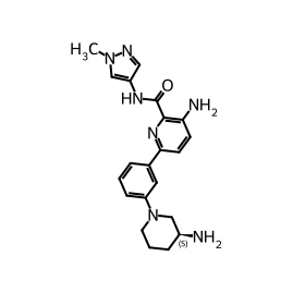 Cn1cc(NC(=O)c2nc(-c3cccc(N4CCC[C@H](N)C4)c3)ccc2N)cn1